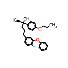 C#CC(C)(CCCc1ccc(F)c(Oc2ccccc2)c1)c1ccc(OCCC)cc1